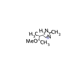 C=C(N)/N=C\CC(C)C(C)OC